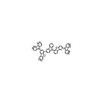 c1cc(-n2c3ccccc3c3cc(-c4cc(-n5c6ccnnc6c6nnccc65)cc5c4oc4cnncc45)ccc32)c2sc3ccc(-n4c5ccnnc5c5nnccc54)cc3c2c1